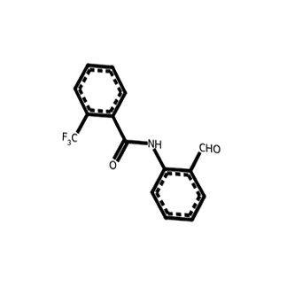 O=Cc1ccccc1NC(=O)c1ccccc1C(F)(F)F